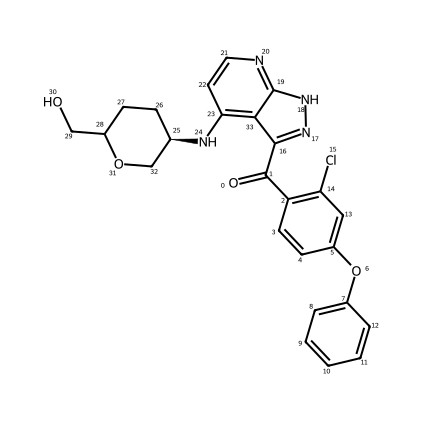 O=C(c1ccc(Oc2ccccc2)cc1Cl)c1n[nH]c2nccc(N[C@@H]3CCC(CO)OC3)c12